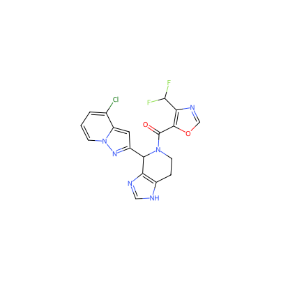 O=C(c1ocnc1C(F)F)N1CCc2[nH]cnc2C1c1cc2c(Cl)cccn2n1